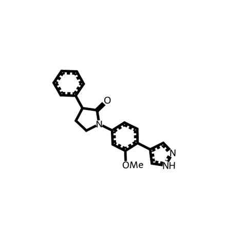 COc1cc(N2CCC(c3ccccc3)C2=O)ccc1-c1cn[nH]c1